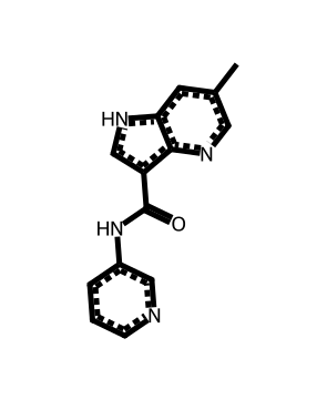 Cc1cnc2c(C(=O)Nc3cccnc3)c[nH]c2c1